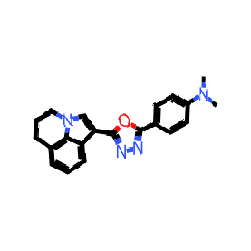 CN(C)c1ccc(-c2nnc(-c3cn4c5c(cccc35)CCC4)o2)cc1